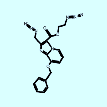 [N-]=[N+]=NCCOC(=O)c1c(CN=[N+]=[N-])nc2c(OCc3ccccc3)cccn12